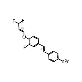 CCCc1ccc(/C=C/c2ccc(O/C=C/C(F)F)c(F)c2)cc1